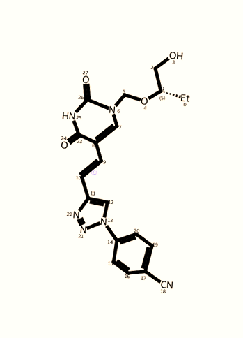 CC[C@@H](CO)OCn1cc(/C=C/c2cn(-c3ccc(C#N)cc3)nn2)c(=O)[nH]c1=O